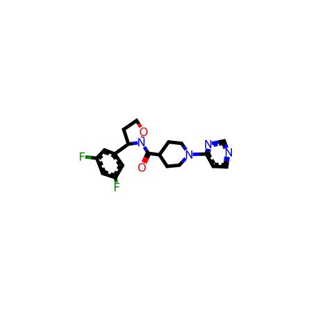 O=C(C1CCN(c2ccncn2)CC1)N1OCCC1c1cc(F)cc(F)c1